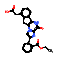 CCOC(=O)c1ccccc1-c1cn2c3c([nH]c(=O)c2n1)-c1cccc(CC(=O)O)c1C3